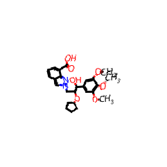 COc1cc(C(O)C(Cn2cc3cccc(C(=O)O)c3n2)OC2CCCC2)cc(OC)c1OC